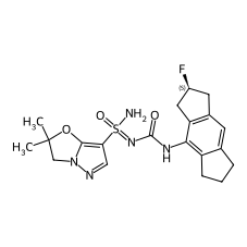 CC1(C)Cn2ncc(S(N)(=O)=NC(=O)Nc3c4c(cc5c3C[C@@H](F)C5)CCC4)c2O1